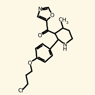 CC1CCNC(c2ccc(OCCCCl)cc2)C1C(=O)c1cnco1